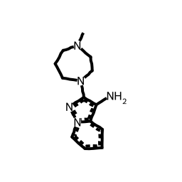 CN1CCCN(c2nn3ccccc3c2N)CC1